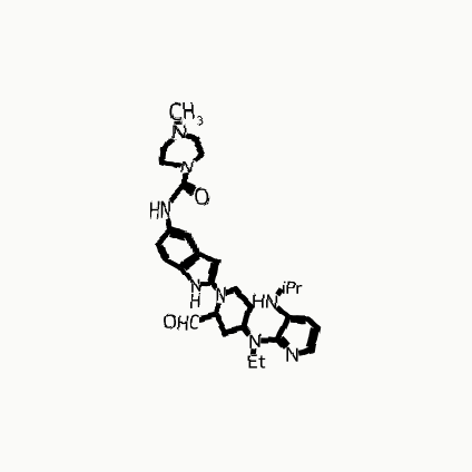 CCN(c1ncccc1NC(C)C)C1CCN(c2cc3cc(NC(=O)N4CCN(C)CC4)ccc3[nH]2)C(C=O)C1